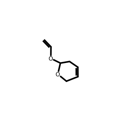 C=COC1CC=CCO1